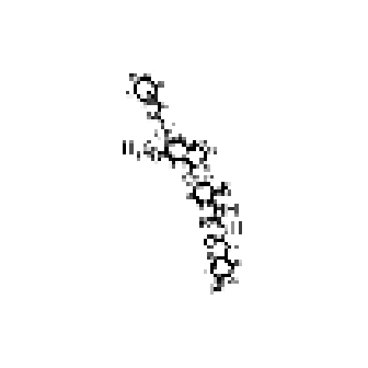 COc1cc2c(Oc3ccc(NC(=O)NC(=O)Cc4ccc(F)cc4)c(F)c3)ccnc2cc1OCCCN1CCCCC1